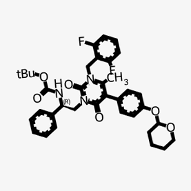 Cc1c(-c2ccc(OC3CCCCO3)cc2)c(=O)n(C[C@H](NC(=O)OC(C)(C)C)c2ccccc2)c(=O)n1Cc1c(F)cccc1F